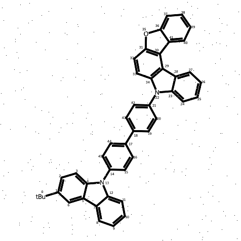 CC(C)(C)c1ccc2c(c1)c1ccccc1n2-c1ccc(-c2ccc(-n3c4ccccc4c4c5c(ccc43)oc3ccccc35)cc2)cc1